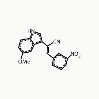 COc1ccc2[nH]cc(C(C#N)=Cc3cccc([N+](=O)[O-])c3)c2c1